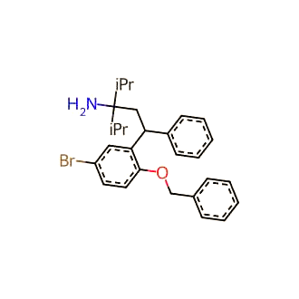 CC(C)C(N)(CC(c1ccccc1)c1cc(Br)ccc1OCc1ccccc1)C(C)C